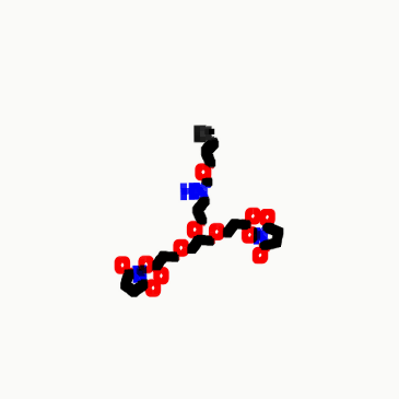 CCC=CCOCNCCCOC(COCCC(=O)ON1C(=O)CCC1=O)COCCC(=O)ON1C(=O)CCC1=O